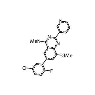 CNc1nc(-c2cccnc2)nc2c(OC)cc(-c3cc(Cl)ccc3F)cc12